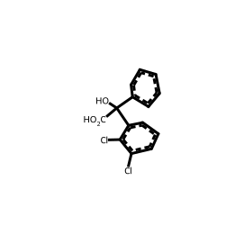 O=C(O)C(O)(c1ccccc1)c1cccc(Cl)c1Cl